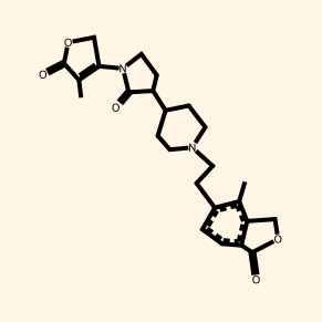 CC1=C(N2CCC(C3CCN(CCc4ccc5c(c4C)COC5=O)CC3)C2=O)COC1=O